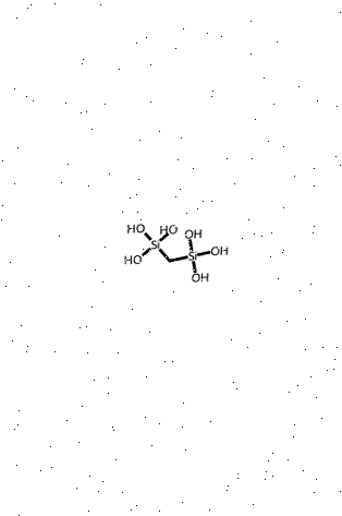 O[Si](O)(O)C[Si](O)(O)O